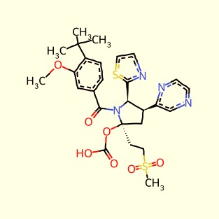 COc1cc(C(=O)N2[C@@H](c3nccs3)[C@@H](c3cnccn3)C[C@@]2(CCS(C)(=O)=O)OC(=O)O)ccc1C(C)(C)C